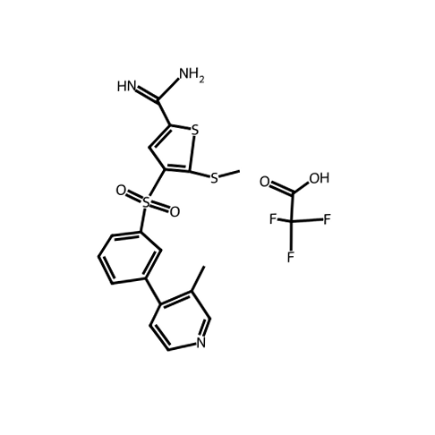 CSc1sc(C(=N)N)cc1S(=O)(=O)c1cccc(-c2ccncc2C)c1.O=C(O)C(F)(F)F